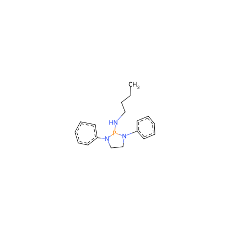 CCCCNP1N(c2ccccc2)CCN1c1ccccc1